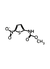 COC(=O)Nc1ccc([N+](=O)[O-])s1